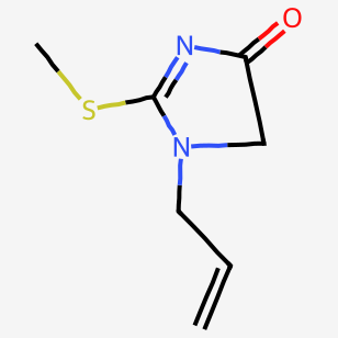 C=CCN1CC(=O)N=C1SC